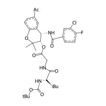 CC[C@H](C)[C@H](NC(=O)OC(C)(C)C)C(=O)NCC(=O)O[C@H]1[C@@H](NC(=O)c2ccc(F)c(Cl)c2)c2cc(C(C)=O)ccc2OC1(C)C